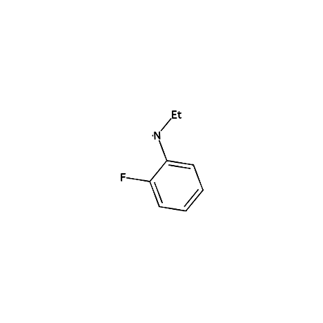 CC[N]c1ccccc1F